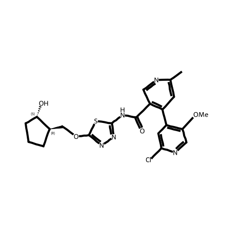 COc1cnc(Cl)cc1-c1cc(C)ncc1C(=O)Nc1nnc(OC[C@H]2CCC[C@@H]2O)s1